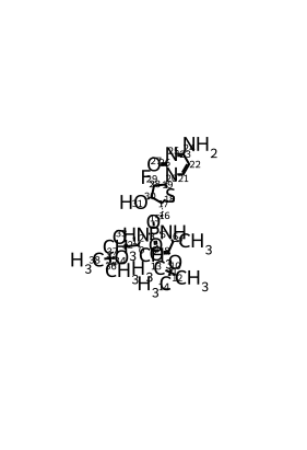 C[C@H](NP(=O)(N[C@@H](C)C(=O)OC(C)(C)C)OC[C@H]1S[C@@H](n2ccc(N)nc2=O)[C@@H](F)[C@@H]1O)C(=O)OC(C)(C)C